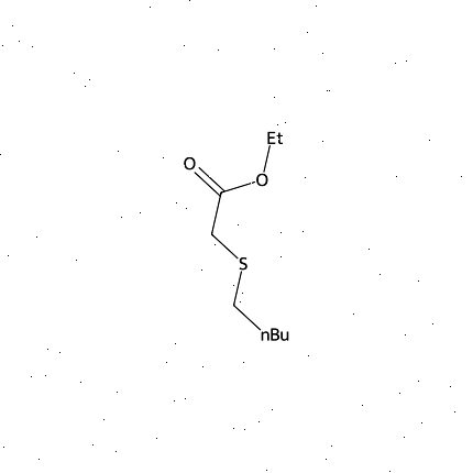 CCCCCSCC(=O)OCC